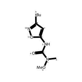 CON(C)C(=O)Nc1cc(C(C)(C)C)no1